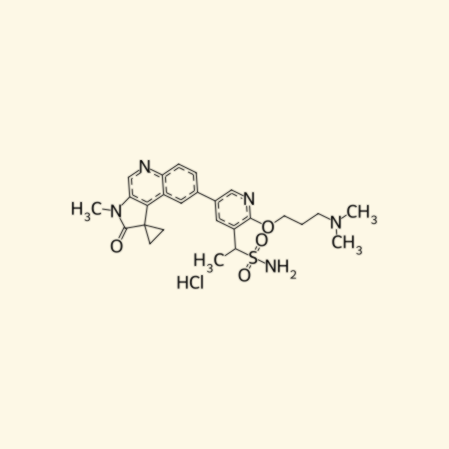 CC(c1cc(-c2ccc3ncc4c(c3c2)C2(CC2)C(=O)N4C)cnc1OCCCN(C)C)S(N)(=O)=O.Cl